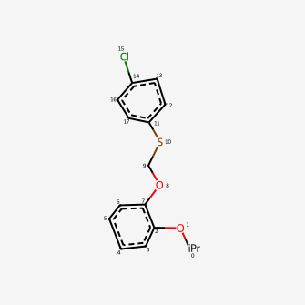 CC(C)Oc1ccccc1OCSc1ccc(Cl)cc1